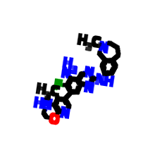 Cc1c(-c2cc3nc(Nc4ccc5c(c4)CN(C)CCC5)ncc3c(N)c2F)cnc2c1NCCO2